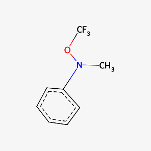 CN(OC(F)(F)F)c1ccccc1